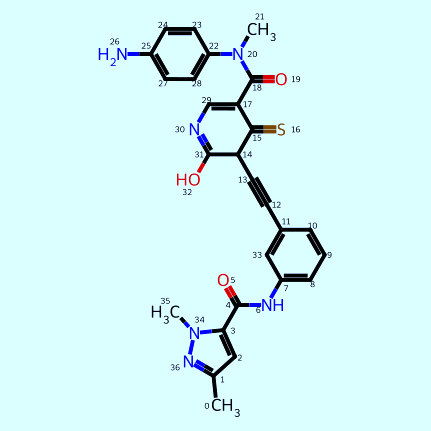 Cc1cc(C(=O)Nc2cccc(C#CC3C(=S)C(C(=O)N(C)c4ccc(N)cc4)=CN=C3O)c2)n(C)n1